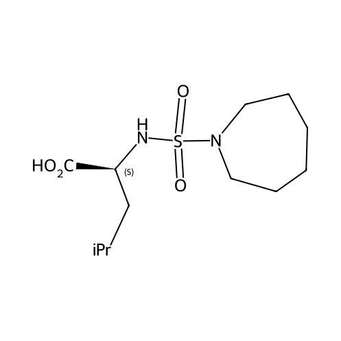 CC(C)C[C@H](NS(=O)(=O)N1CCCCCC1)C(=O)O